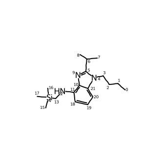 CCCCn1c(C(C)C)nc2c(NC[Si](C)(C)C)cccc21